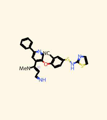 CN/C(=C\C=N)c1cc(-c2ccccc2)ncc1Oc1ccc(SNc2nccs2)cc1C#N